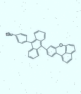 CC(C)(C)c1ccc(-c2c3ccccc3c(-c3ccc4c(c3)Oc3cccc5cccc-4c35)c3ccccc23)cc1